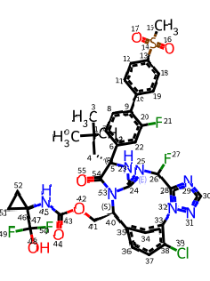 CC(C)(C)C[C@]1(c2ccc(-c3ccc(S(C)(=O)=O)cc3)c(F)c2)N/C2=N\C(F)c3ncnn3-c3cc(ccc3Cl)[C@@H](COC(=O)NC3(C(O)(F)F)CC3)N2C1=O